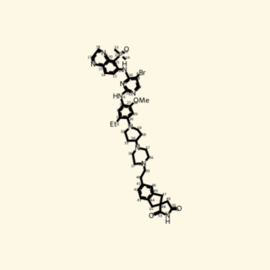 CCc1cc(Nc2ncc(Br)c(Nc3ccc4nccnc4c3P(C)(C)=O)n2)c(OC)cc1N1CCC(N2CCN(CCc3ccc4c(c3)CC3(CC(=O)NC3=O)C4)CC2)CC1